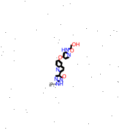 CC(C)Nc1ncc(-c2ccc3cc(Oc4ccnc(NC(=O)CO)c4)ccc3n2)c(=O)n1C